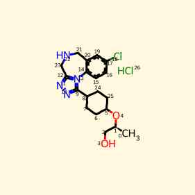 C[C@@H](CO)OC1CCC(c2nnc3n2-c2ccc(Cl)cc2CNC3)CC1.Cl